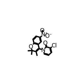 CC1=C(n2cccc(Cl)c2=O)c2cc([N+](=O)[O-])ccc2OC1(C)C